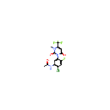 CC(=O)Nc1cc(-n2c(=O)cc(C(F)(F)F)n(C)c2=O)c(F)cc1Cl